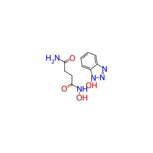 NC(=O)CCC(=O)NO.On1nnc2ccccc21